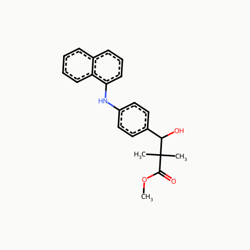 COC(=O)C(C)(C)C(O)c1ccc(Nc2cccc3ccccc23)cc1